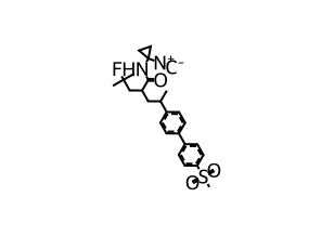 [C-]#[N+]C1(NC(=O)C(CC(C)c2ccc(-c3ccc(S(C)(=O)=O)cc3)cc2)CC(C)(C)F)CC1